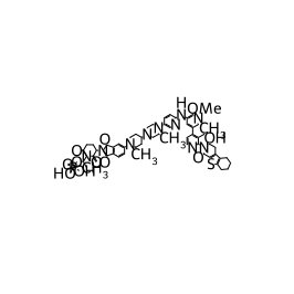 COc1ncc(-c2ccnc(N3CCc4c(sc5c4CCCC5)C3=O)c2[C@H](C)O)cc1Nc1ccc(N2CCN(C3CCN(c4ccc5c(c4)C(=O)N(C4CCC(=O)N(C(C)OP(=O)(O)O)C4=O)C5=O)[C@@H](C)C3)C[C@@H]2C)cn1